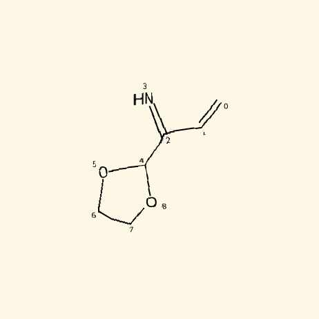 C=CC(=N)C1OCCO1